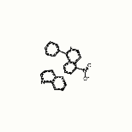 O=[N+]([O-])c1cccc2c(-c3ccccc3)nccc12.c1ccc2ncccc2c1